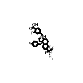 CC(F)(c1ccc2c(c1)CC[C@H]1N(Cc3ccc(C(=O)O)c(F)c3)CC[C@@]21Cc1ccc(F)cc1)C(F)(F)F